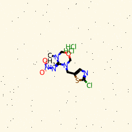 CN1COCN(Cc2cnc(Cl)s2)C1=N[N+](=O)[O-].Cl.Cl